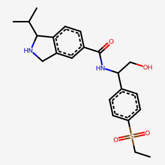 CCS(=O)(=O)c1ccc(C(CO)NC(=O)c2ccc3c(c2)CNC3C(C)C)cc1